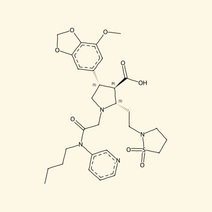 CCCCN(C(=O)CN1C[C@H](c2cc(OC)c3c(c2)OCO3)[C@@H](C(=O)O)[C@@H]1CCN1CCCS1(=O)=O)c1cccnc1